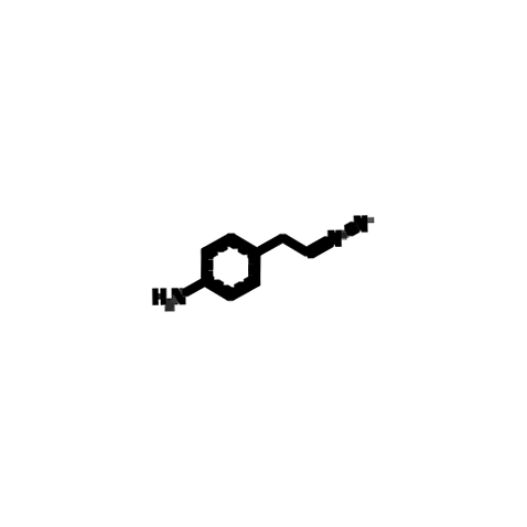 [N-]=[N+]=CCc1ccc(N)cc1